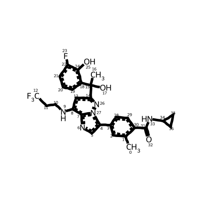 Cc1cc(-c2cnc3c(NCCC(F)(F)F)cc(C(C)(O)c4cccc(F)c4O)nn23)ccc1C(=O)NC1CC1